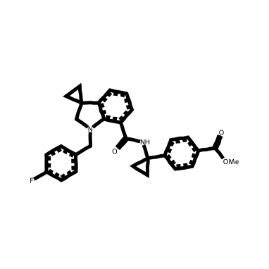 COC(=O)c1ccc(C2(NC(=O)c3cccc4c3N(Cc3ccc(F)cc3)CC43CC3)CC2)cc1